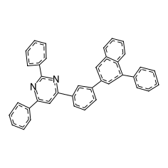 c1ccc(-c2cc(-c3cccc(-c4cc(-c5ccccc5)c5ccccc5c4)c3)nc(-c3ccccc3)n2)cc1